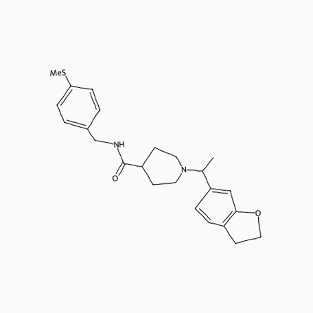 CSc1ccc(CNC(=O)C2CCN(C(C)c3ccc4c(c3)OCC4)CC2)cc1